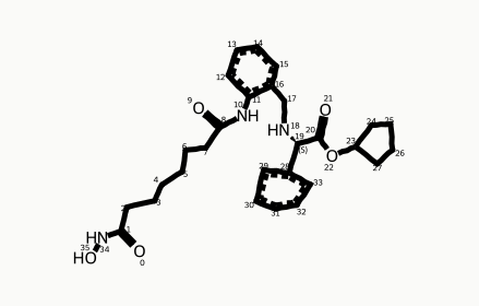 O=C(CCCCCCC(=O)Nc1ccccc1CN[C@H](C(=O)OC1CCCC1)c1ccccc1)NO